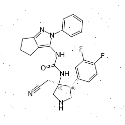 N#CC[C@@]1(NC(=O)Nc2c3c(nn2-c2ccccc2)CCC3)CNC[C@H]1c1ccc(F)c(F)c1